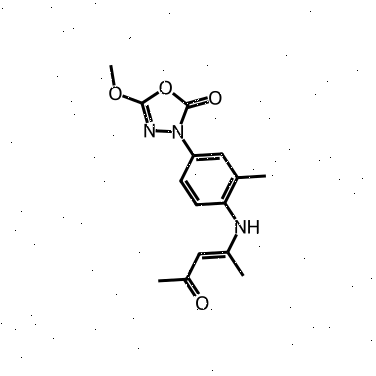 COc1nn(-c2ccc(NC(C)=CC(C)=O)c(C)c2)c(=O)o1